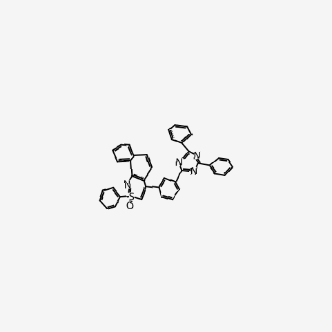 O=S1(c2ccccc2)=Nc2c(ccc3ccccc23)C(c2cccc(-c3nc(-c4ccccc4)nc(-c4ccccc4)n3)c2)=C1